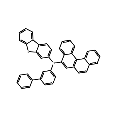 c1ccc(-c2cccc(N(c3ccc4c(c3)sc3ccccc34)c3cc4ccc5ccccc5c4c4ccccc34)c2)cc1